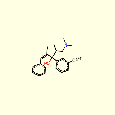 COc1cccc(C(O)(/C(C)=C\c2ccccc2)C(C)CN(C)C)c1